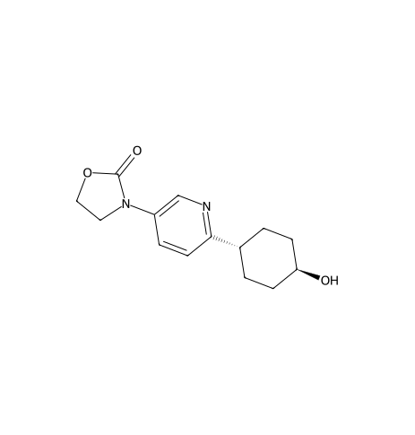 O=C1OCCN1c1ccc([C@H]2CC[C@H](O)CC2)nc1